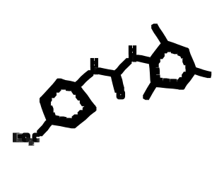 CCOC(=O)c1ccc(NC(=O)Nc2c(C)cc(C)cc2C)cc1